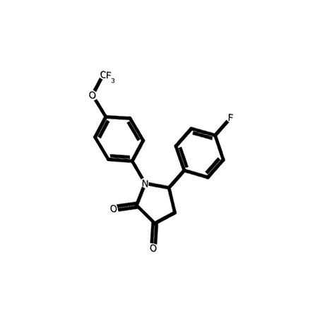 O=C1CC(c2ccc(F)cc2)N(c2ccc(OC(F)(F)F)cc2)C1=O